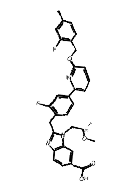 CO[C@@H](C)Cn1c(Cc2ccc(-c3cccc(OCc4ccc(C)cc4F)n3)cc2F)nc2ccc(C(=O)O)cc21